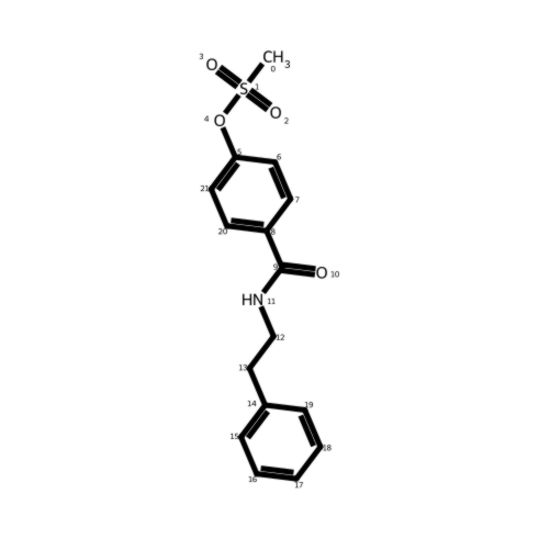 CS(=O)(=O)Oc1ccc(C(=O)NCCc2ccccc2)cc1